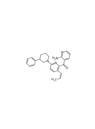 C/C=C\c1ccc(N2CCCC(c3ccccc3)C2)nc1C(=O)c1cccnc1N